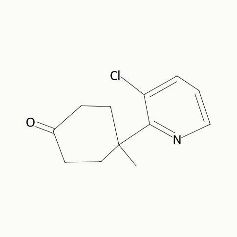 CC1(c2ncccc2Cl)CCC(=O)CC1